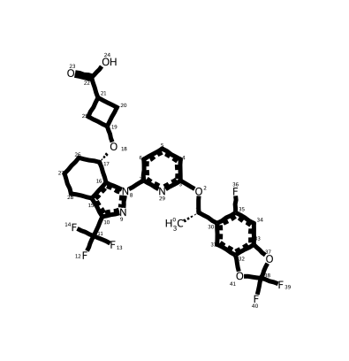 C[C@H](Oc1cccc(-n2nc(C(F)(F)F)c3c2[C@@H](OC2CC(C(=O)O)C2)CCC3)n1)c1cc2c(cc1F)OC(F)(F)O2